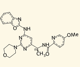 COc1ccc(C(=O)N[C@@H](C)c2cc(Nc3nc4ccccc4o3)nc(N3CCOCC3)n2)nc1